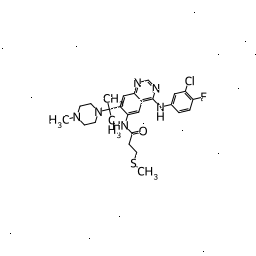 CSCCC(=O)Nc1cc2c(Nc3ccc(F)c(Cl)c3)ncnc2cc1C(C)(C)N1CCN(C)CC1